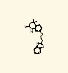 CC1(C)CC(=O)Nc2cc(N=NCc3nc4ccccc4s3)ccc21